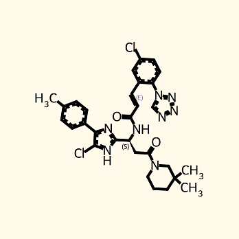 Cc1ccc(-c2nc([C@H](CC(=O)N3CCCC(C)(C)C3)NC(=O)/C=C/c3cc(Cl)ccc3-n3cnnn3)[nH]c2Cl)cc1